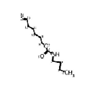 CCCCNC(=O)OCCCCCC=S